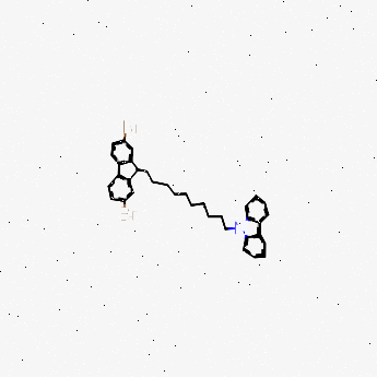 Brc1ccc2c(c1)C(CCCCCCCCCCn1c3ccccc3c3ccccc31)c1cc(Br)ccc1-2